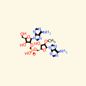 COC1[C@@H](O)[C@@H](COP(=O)(O)COC2C(O)[C@@H](CO)O[C@H]2n2cnc3c(N)ncnc32)O[C@H]1n1cnc2c(N)ncnc21